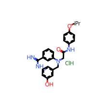 CC(C)Oc1ccc(NC(=O)CN(Cc2cccc(O)c2)c2cccc(C(=N)N)c2)cc1.Cl